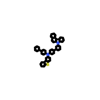 c1ccc(-c2ccc(N(c3ccc(-c4cccc(-n5c6ccccc6c6c7ccccc7ccc65)c4)cc3)c3ccc4sc5ccccc5c4c3)cc2)cc1